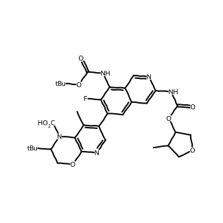 Cc1c(-c2cc3cc(NC(=O)OC4COCC4C)ncc3c(NC(=O)OC(C)(C)C)c2F)cnc2c1N(C(=O)O)C(C(C)(C)C)CO2